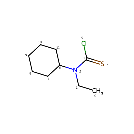 CCN(C(=S)Cl)C1CCCCC1